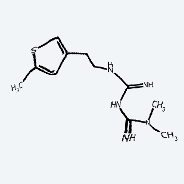 Cc1cc(CCNC(=N)NC(=N)N(C)C)cs1